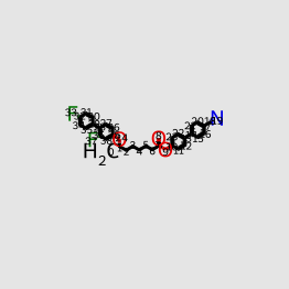 C=C(CCCCCC(=O)Oc1ccc(-c2ccc(C#N)cc2)cc1)Oc1ccc(-c2ccc(F)cc2)c(F)c1